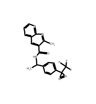 Cc1nc2ncccc2cc1C(=O)NC(C)c1ccc(C2(C(F)(F)F)N=N2)cc1